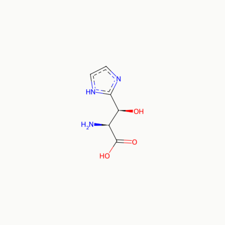 N[C@H](C(=O)O)[C@H](O)c1ncc[nH]1